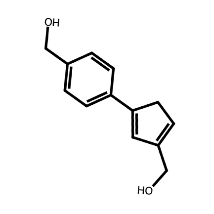 OCC1=CCC(c2ccc(CO)cc2)=C1